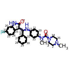 CN1CCN(C(=O)N(C)c2ccc(N/C(=C3\C(=O)Nc4cc(F)ccc43)c3ccccc3)cc2)CC1